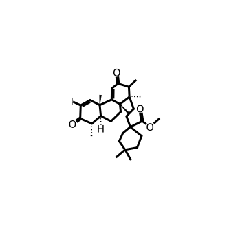 COC(=O)C1(CC[C@]2(C)C(C)C(=O)C=C3[C@@]4(C)C=C(I)C(=O)[C@@H](C)[C@@H]4CC[C@]32C)CCC(C)(C)CC1